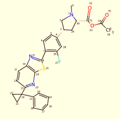 CN1C[C@@H](c2ccc(-c3nc4ccc(C5(c6ccccc6)CC5)nc4s3)c(F)c2)C[C@H]1C(=O)OC(=O)C(F)(F)F